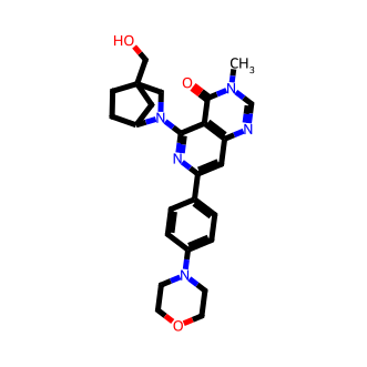 Cn1cnc2cc(-c3ccc(N4CCOCC4)cc3)nc(N3CC4(CO)CCC3C4)c2c1=O